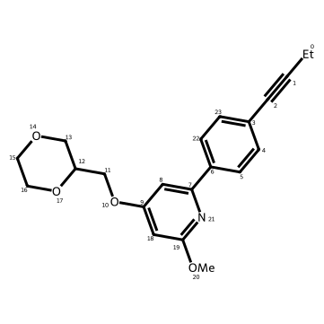 CCC#Cc1ccc(-c2cc(OCC3COCCO3)cc(OC)n2)cc1